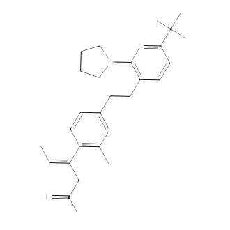 B=C(CCC)C/C(=C/C)c1ccc(CCc2ccc(C(C)(F)F)nc2N2CCCC2)cc1C